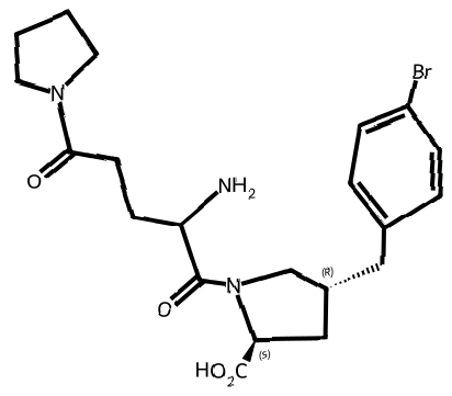 NC(CCC(=O)N1CCCC1)C(=O)N1C[C@H](Cc2ccc(Br)cc2)C[C@H]1C(=O)O